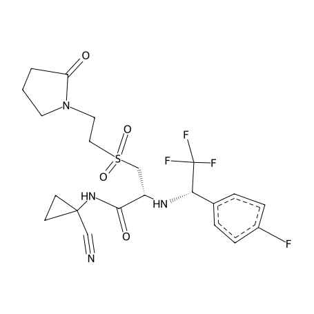 N#CC1(NC(=O)[C@H](CS(=O)(=O)CCN2CCCC2=O)N[C@@H](c2ccc(F)cc2)C(F)(F)F)CC1